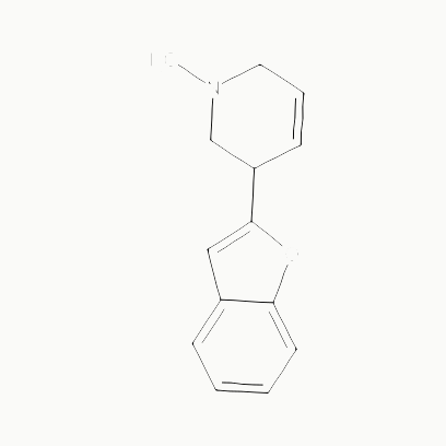 CN1CC=CC(c2cc3ccccc3o2)C1